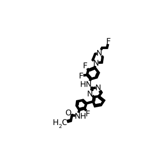 C=CC(=O)Nc1cccc(-c2cccc3cnc(Nc4ccc(N5CCN(CCF)CC5)c(F)c4F)nc23)c1F